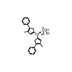 CC(C)O.CC(C)O.[CH2]=[Hf]([C]1=CC(C)=C(c2ccccc2)C1)[C]1=CC(C)=C(c2ccccc2)C1